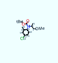 COCC(C)N(C(=O)OC(C)(C)C)c1ccc(Cl)cc1C